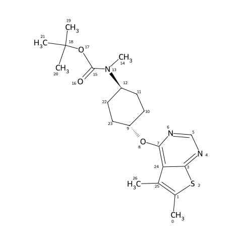 Cc1sc2ncnc(O[C@H]3CC[C@H](N(C)C(=O)OC(C)(C)C)CC3)c2c1C